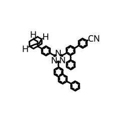 N#Cc1ccc(-c2ccc(-c3nc(-c4ccc(C56C[C@H]7C[C@@H](C5)C[C@@H](C6)C7)cc4)nc(-c4ccc5ccc(-c6ccccc6)cc5c4)n3)c(-c3ccccc3)c2)cc1